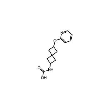 O=C(O)NC1CC2(C1)CC(Oc1ccccn1)C2